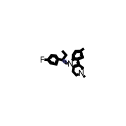 CC/C(=C\n1c2c(c3cc(C)ccc31)CN(C)CC2)c1ccc(F)cc1